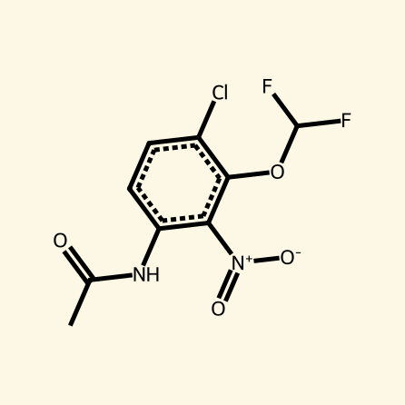 CC(=O)Nc1ccc(Cl)c(OC(F)F)c1[N+](=O)[O-]